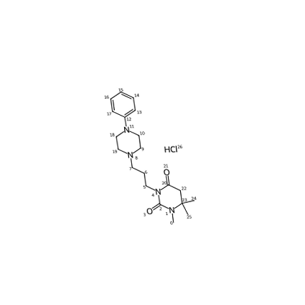 CN1C(=O)N(CCCN2CCN(c3ccccc3)CC2)C(=O)CC1(C)C.Cl